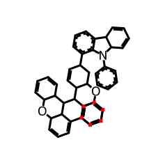 C1=CC2OC3C=CC=C(C4=CCCC=C4)C3C(C3C4=CCCC=C4OC4CC(c5cccc6c5N(c5ccccc5)C5C=CC=CC65)C=CC43)C2C=C1